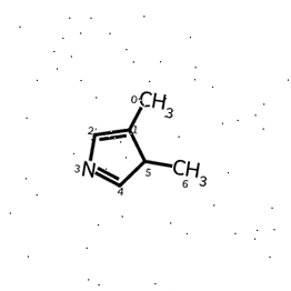 CC1=CN=CC1C